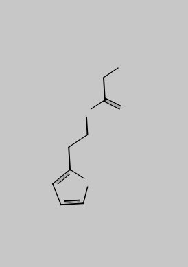 CCC(=O)OCCc1ccco1